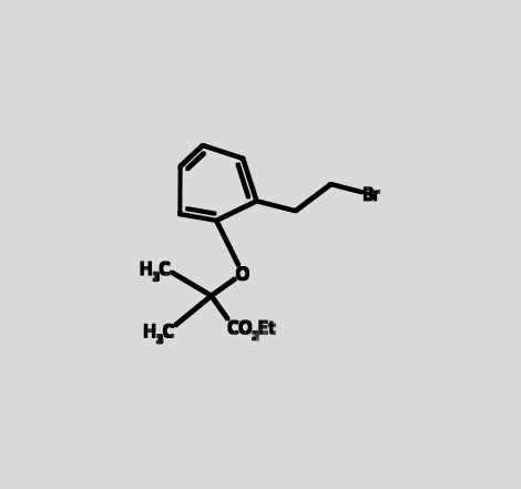 CCOC(=O)C(C)(C)Oc1ccccc1CCBr